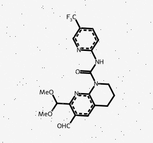 COC(OC)c1nc2c(cc1C=O)CCCN2C(=O)Nc1ccc(C(F)(F)F)cn1